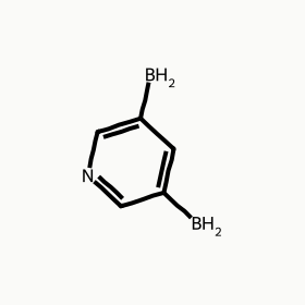 Bc1cncc(B)c1